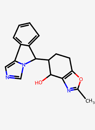 Cc1nc2c(o1)CCC(C1c3ccccc3-c3cncn31)C2O